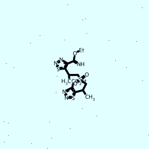 CCOC(=N)c1nnsc1C(C)CS(=O)(=O)CC(C)c1snnc1C(=O)OCC